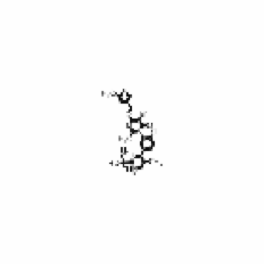 Cc1cc(COc2nc(C)n(-c3cc(-c4nc(C(C)(C)O)ncc4C)ccc3Cl)c(=O)c2Br)cs1